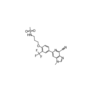 Cn1cnc2c(C#N)nc(-c3ccc(OCCCNS(C)(=O)=O)c(C(F)(F)F)c3)cc21